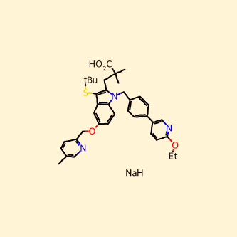 CCOc1ccc(-c2ccc(Cn3c(CC(C)(C)C(=O)O)c(SC(C)(C)C)c4cc(OCc5ccc(C)cn5)ccc43)cc2)cn1.[NaH]